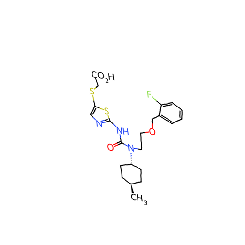 C[C@H]1CC[C@H](N(CCOCc2ccccc2F)C(=O)Nc2ncc(SCC(=O)O)s2)CC1